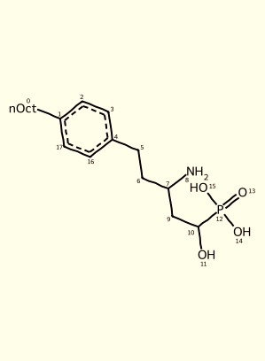 CCCCCCCCc1ccc(CCC(N)CC(O)P(=O)(O)O)cc1